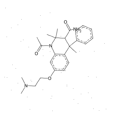 CC(=O)N1c2cc(OCCN(C)C)[c]cc2C(C)(c2ccccc2)C(C(N)=O)C1(C)C